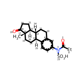 CCC(=O)N(c1ccc2c(c1)CC[C@@H]1[C@@H]2CC[C@]2(C)C(=O)CC[C@@H]12)S(=O)(=O)O